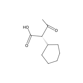 CC(=O)[C@@H](C(=O)O)C1CCCCC1